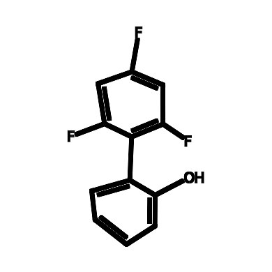 Oc1ccccc1-c1c(F)cc(F)cc1F